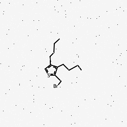 CCCCc1csc(CBr)c1CCCC